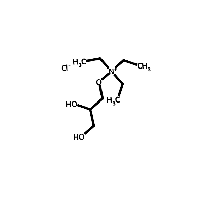 CC[N+](CC)(CC)OCC(O)CO.[Cl-]